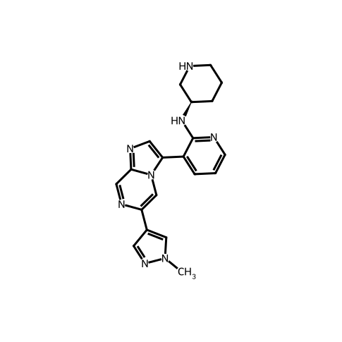 Cn1cc(-c2cn3c(-c4cccnc4N[C@@H]4CCCNC4)cnc3cn2)cn1